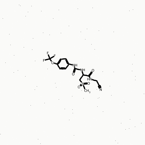 CS(=O)(=O)CC(NC(=O)Nc1ccc(OC(F)(F)F)cc1)C(=O)NCC#N